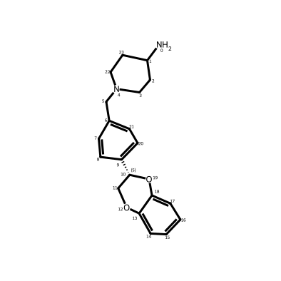 NC1CCN(Cc2ccc([C@H]3COc4ccccc4O3)cc2)CC1